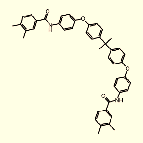 Cc1ccc(C(=O)Nc2ccc(Oc3ccc(C(C)(C)c4ccc(Oc5ccc(NC(=O)c6ccc(C)c(C)c6)cc5)cc4)cc3)cc2)cc1C